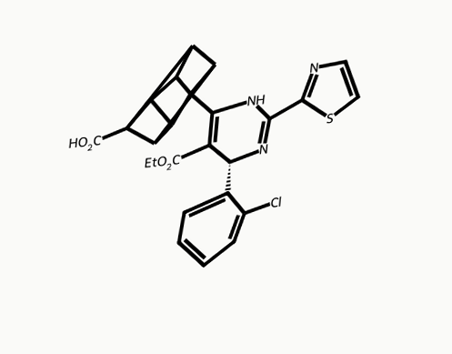 CCOC(=O)C1=C(C23C4C5C2C2C3C4C52C(=O)O)NC(c2nccs2)=N[C@@H]1c1ccccc1Cl